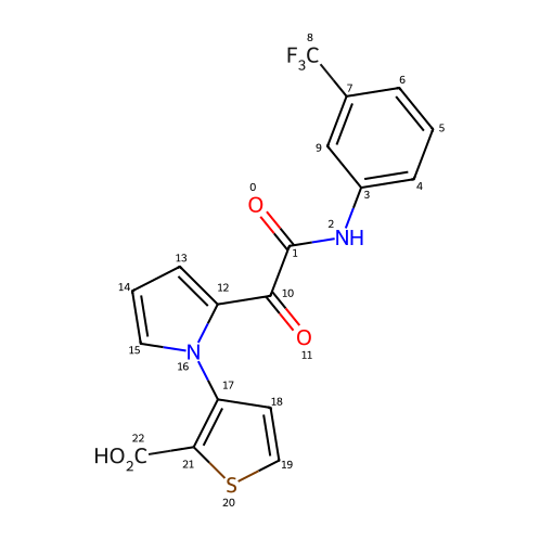 O=C(Nc1cccc(C(F)(F)F)c1)C(=O)c1cccn1-c1ccsc1C(=O)O